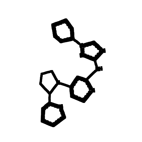 c1ccc(-n2cnc(Nc3cc(N4CCCC4c4ccccn4)ccn3)n2)cc1